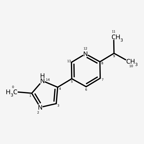 Cc1ncc(-c2ccc(C(C)C)nc2)[nH]1